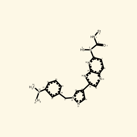 CCNC(=O)N(S)c1ccc2ncc(-c3cnn(Cc4cccc(N(C)C)c4)c3)nc2n1